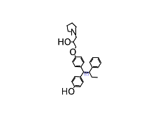 CC/C(=C(\c1ccc(O)cc1)c1ccc(OCC(O)CN2CCCC2)cc1)c1ccccc1